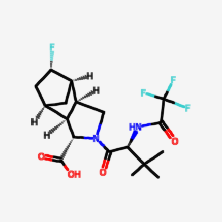 CC(C)(C)[C@H](NC(=O)C(F)(F)F)C(=O)N1C[C@@H]2[C@H]3C[C@H](C[C@@H]3F)[C@@H]2[C@H]1C(=O)O